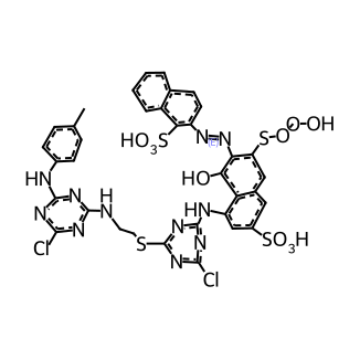 Cc1ccc(Nc2nc(Cl)nc(NCCSc3nc(Cl)nc(Nc4cc(S(=O)(=O)O)cc5cc(SOOO)c(/N=N/c6ccc7ccccc7c6S(=O)(=O)O)c(O)c45)n3)n2)cc1